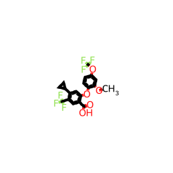 COc1cc(OC(F)(F)F)ccc1Oc1cc(C2CC2)c(C(F)(F)F)cc1C(=O)O